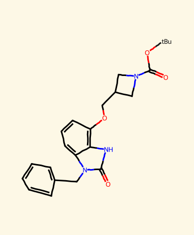 CC(C)(C)OC(=O)N1CC(COc2cccc3c2[nH]c(=O)n3Cc2ccccc2)C1